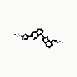 C=Cc1cccc2c1N=C(c1cccc3cc(-c4cnn(C)c4)ncc13)C2